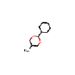 CC1COC(C2CCCCC2)OC1